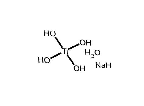 O.[NaH].[OH][Ti]([OH])([OH])[OH]